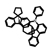 CCC1CC2CCCC(C1)C21c2ccccc2-c2cccc(N(c3ccccc3)c3ccc4c(c3)C3(CCCC3)c3ccccc3-4)c21